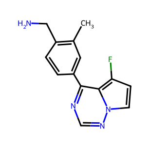 Cc1cc(-c2ncnn3ccc(F)c23)ccc1CN